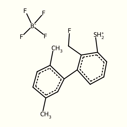 Cc1ccc(C)c(-c2cccc([SH2+])c2CF)c1.F[B-](F)(F)F